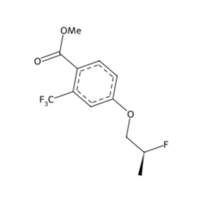 COC(=O)c1ccc(OC[C@H](C)F)cc1C(F)(F)F